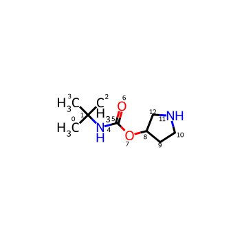 CC(C)(C)NC(=O)OC1CCNC1